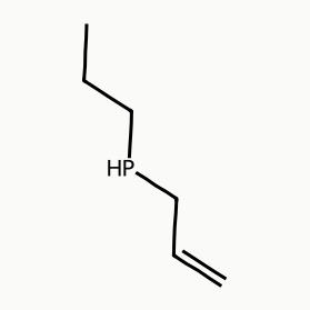 C=CCPCCC